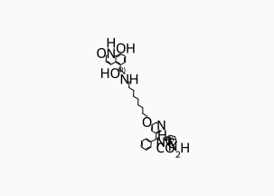 O=C(O)N(C(c1ccccc1)c1cncc(OCCCCCCCCCNC[C@H](O)c2ccc(O)c3[nH]c(=O)ccc23)c1)[C@H]1CN2CCC1CC2